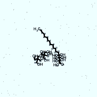 CCCCCCCCCCCCCCC(O)(O)C(O)(O)C(O)(O)C(=O)O.OCC(CO)(CO)CO.OCC(CO)(CO)CO